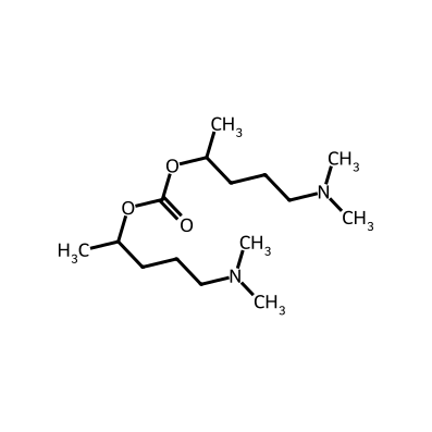 CC(CCCN(C)C)OC(=O)OC(C)CCCN(C)C